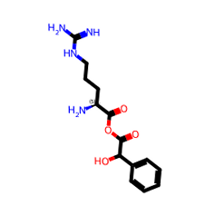 N=C(N)NCCC[C@H](N)C(=O)OC(=O)C(O)c1ccccc1